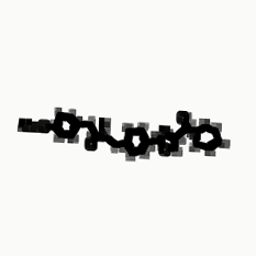 COc1ccc(CC(=O)NCc2ccc(-c3nc(C(=O)N4CC=CCC4)co3)cc2)cc1